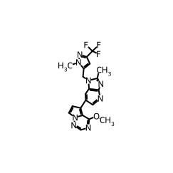 COc1ncnn2ccc(-c3cnc4nc(C)n(Cc5cc(C(F)(F)F)nn5C)c4c3)c12